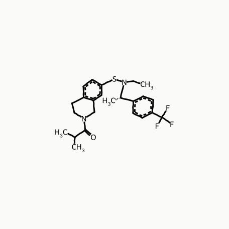 CCN(Sc1ccc2c(c1)CN(C(=O)C(C)C)CC2)[C@@H](C)c1ccc(C(F)(F)F)cc1